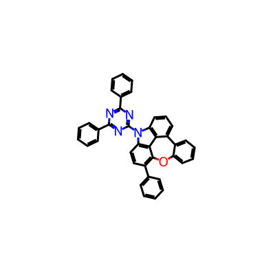 c1ccc(-c2nc(-c3ccccc3)nc(-n3c4ccc(-c5ccccc5)c5oc6ccccc6c6cccc3c6c54)n2)cc1